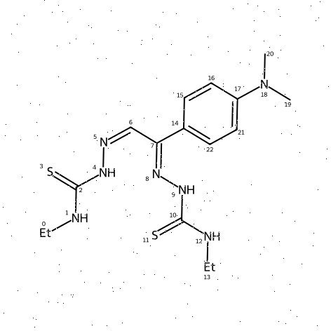 CCNC(=S)N/N=C\C(=N\NC(=S)NCC)c1ccc(N(C)C)cc1